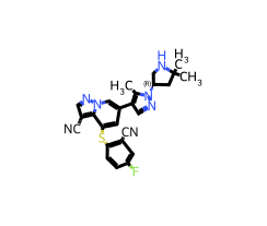 Cc1c(-c2cc(Sc3ccc(F)cc3C#N)c3c(C#N)cnn3c2)cnn1[C@H]1CNC(C)(C)C1